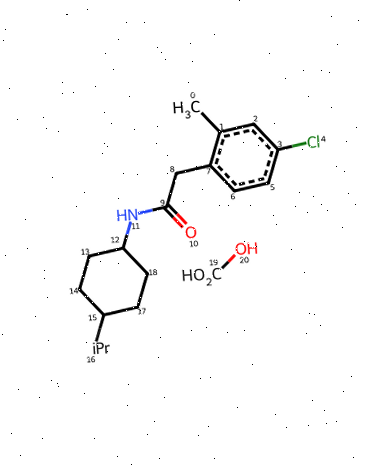 Cc1cc(Cl)ccc1CC(=O)NC1CCC(C(C)C)CC1.O=C(O)O